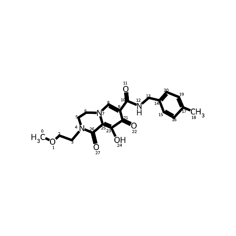 COCCN1CCn2cc(C(=O)NCc3ccc(C)cc3)c(=O)c(O)c2C1=O